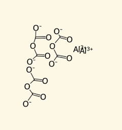 O=C([O-])OC(=O)[O-].O=C([O-])OC(=O)[O-].O=C([O-])OC(=O)[O-].[Al+3].[Al+3]